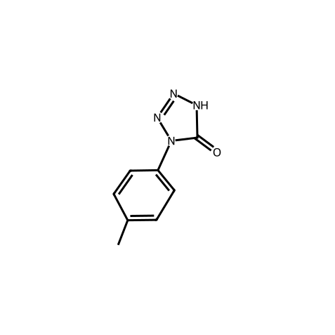 Cc1ccc(-n2nn[nH]c2=O)cc1